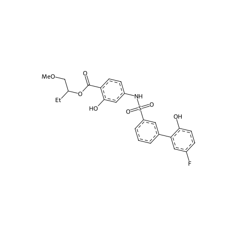 CCC(COC)OC(=O)c1ccc(NS(=O)(=O)c2cccc(-c3cc(F)ccc3O)c2)cc1O